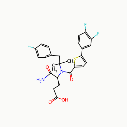 CC(C)(Cc1ccc(F)cc1)N(C(=O)c1ccc(-c2ccc(F)c(F)c2)s1)[C@@H](CCC(=O)O)C(N)=O